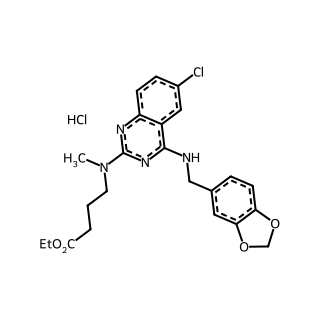 CCOC(=O)CCCN(C)c1nc(NCc2ccc3c(c2)OCO3)c2cc(Cl)ccc2n1.Cl